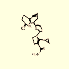 NC(=O)C1=C(C2CC2)N(c2nc(-c3cccc4c3NC(=O)CC4)cs2)CS1